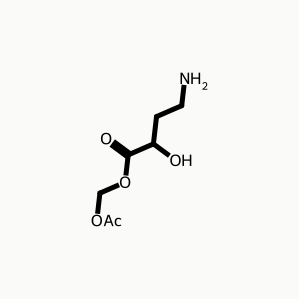 CC(=O)OCOC(=O)C(O)CCN